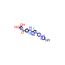 CCCc1cnc(N2CCC(n3cc(F)c4c(Nc5ccc(C(=O)N6C[C@@H](O)[C@H](O)C6)cc5F)ncnc43)CC2)nc1